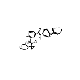 Cc1ccc(C(=O)Nc2ccc(-c3ccccc3)cc2)cc1NC(=O)C1(N2CCOCC2)CC1